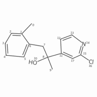 Cc1ccccc1CC(C)(O)c1ccnc(Cl)c1